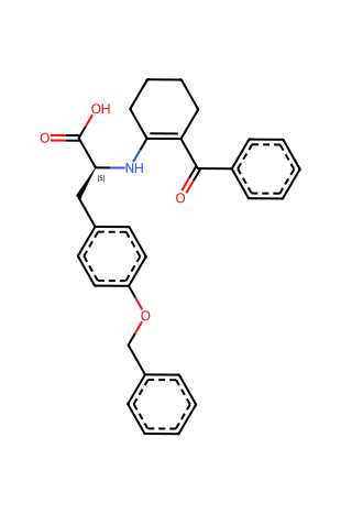 O=C(C1=C(N[C@@H](Cc2ccc(OCc3ccccc3)cc2)C(=O)O)CCCC1)c1ccccc1